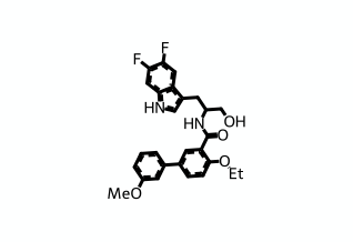 CCOc1ccc(-c2cccc(OC)c2)cc1C(=O)NC(CO)Cc1c[nH]c2cc(F)c(F)cc12